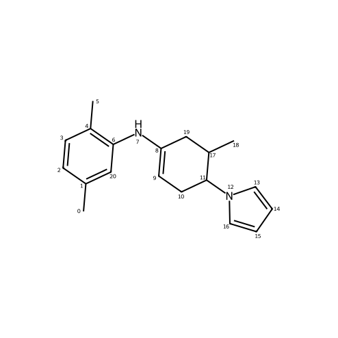 Cc1ccc(C)c(NC2=CCC(n3cccc3)C(C)C2)c1